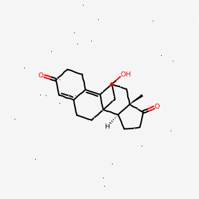 C[C@]12CCC3=C4CCC(=O)C=C4CCC3(CCO)[C@@H]1CCC2=O